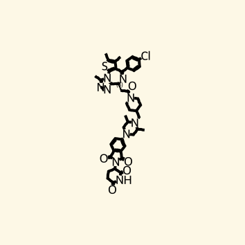 Cc1sc2c(c1C)C(c1ccc(Cl)cc1)=N[C@@H](CC(=O)N1CCC(CN3C(C)CN(c4ccc5c(c4)C(=O)N(C4CCC(=O)NC4=O)C5=O)CC3C)CC1)c1nnc(C)n1-2